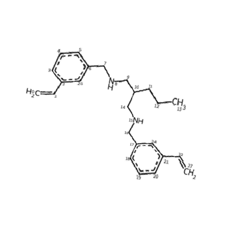 C=Cc1cccc(CNCC(CCC)CNCc2cccc(C=C)c2)c1